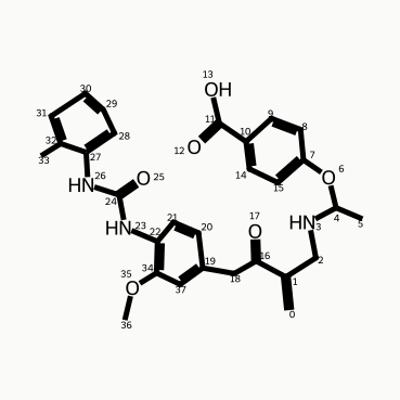 C=C(CNC(C)Oc1ccc(C(=O)O)cc1)C(=O)Cc1ccc(NC(=O)Nc2ccccc2C)c(OC)c1